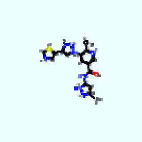 Cc1ncc(C(=O)Nc2cc(C(C)(C)C)n[nH]2)cc1-n1cc(-c2cncs2)nn1